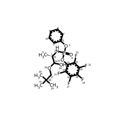 C[C@H](NP(=O)(Oc1ccccc1)Oc1c(F)c(F)c(F)c(F)c1F)C(O)OCC(C)(C)C